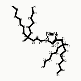 CCCCCCCC(C)(CCCCCC)CCCn1cc(CC(C)(CCCCCC)CCCCCC)nn1